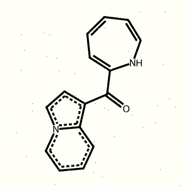 O=C(C1=CC=CC=CN1)c1ccn2ccccc12